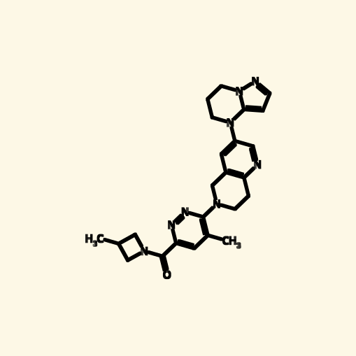 Cc1cc(C(=O)N2CC(C)C2)nnc1N1CCc2ncc(N3CCCn4nccc43)cc2C1